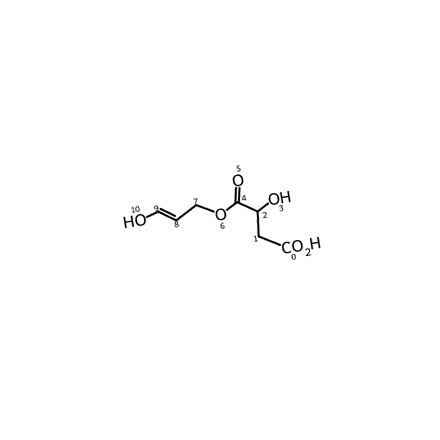 O=C(O)CC(O)C(=O)OCC=CO